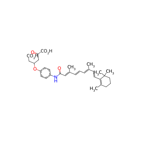 CC(C=CC1=C(C)CCCC1(C)C)=C/C=C/C(C)=C/C(=O)Nc1ccc(OC(CC(=O)O)CC(=O)C(=O)O)cc1